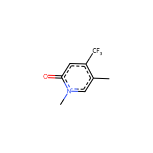 Cc1cn(C)c(=O)cc1C(F)(F)F